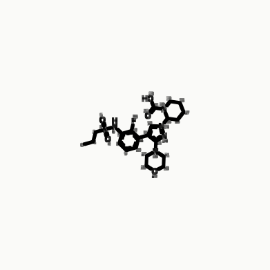 CCCS(=O)(=O)Nc1cccc(-c2cn(C3CCCCN3C(=O)O)nc2N2CCOCC2)c1F